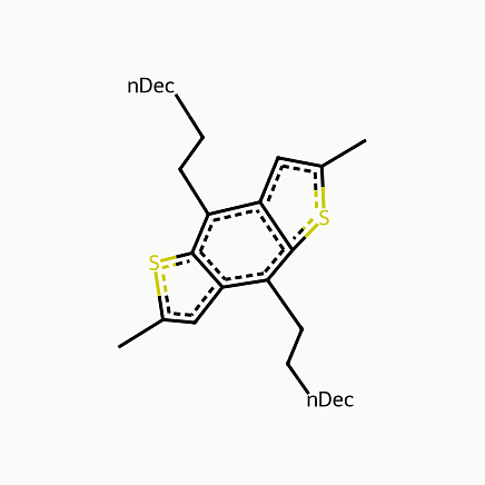 CCCCCCCCCCCCc1c2cc(C)sc2c(CCCCCCCCCCCC)c2cc(C)sc12